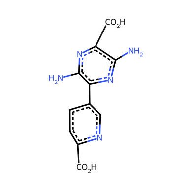 Nc1nc(-c2ccc(C(=O)O)nc2)c(N)nc1C(=O)O